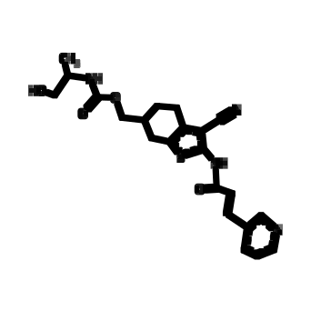 CC(CO)NC(=O)OCC1CCc2c(sc(NC(=O)C=Cc3cccnc3)c2C#N)C1